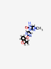 Cn1cc2[nH]c(=O)n(-c3cnc(Oc4cccc5c4C4(CC4)CO5)nc3)c2n1